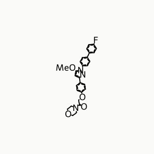 COc1cc(-c2ccc(OCC(=O)N3CCOCC3)cc2)nn1-c1ccc(-c2ccc(F)cc2)cc1